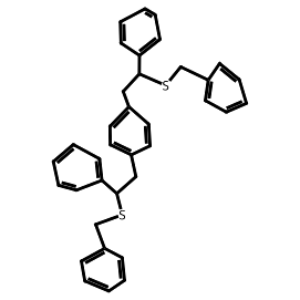 c1ccc(CSC(Cc2ccc(CC(SCc3ccccc3)c3ccccc3)cc2)c2ccccc2)cc1